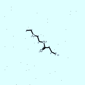 CCOCCOC(=O)CCF